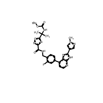 Cn1cc(-c2nc3c(-c4ccc(CNC(=O)c5noc(C(C)(C)NC(=O)OC(C)(C)C)n5)c(F)c4)ccnc3[nH]2)cn1